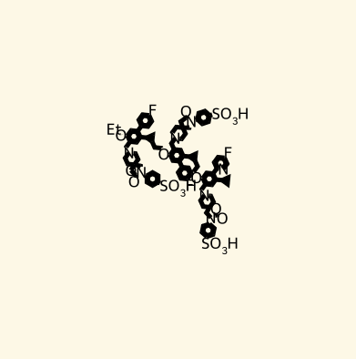 CCOc1cc(-c2ccc(F)cc2)c(C2CC2CCOc2cc(-c3ccc(F)cc3)c(C3CC3CCOc3cc(-c4ccc(F)cn4)c(C4CC4)cc3CN3CCC4(CC3)CN(c3ccc(S(=O)(=O)O)cc3)C(=O)O4)cc2CN2CCC3(CC2)CC(=O)N(c2ccc(S(=O)(=O)O)cc2)C3)cc1CN1CCC2(CC1)CN(c1ccc(S(=O)(=O)O)cc1)C(=O)O2